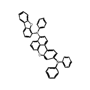 c1ccc(N(c2ccccc2)c2ccc3c(c2)Oc2cccc4c(N(c5ccccc5)c5cccc6c5oc5ccccc56)ccc-3c24)cc1